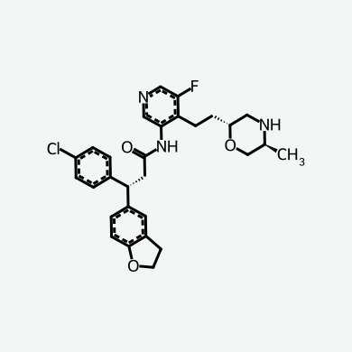 C[C@H]1CO[C@H](CCc2c(F)cncc2NC(=O)C[C@@H](c2ccc(Cl)cc2)c2ccc3c(c2)CCO3)CN1